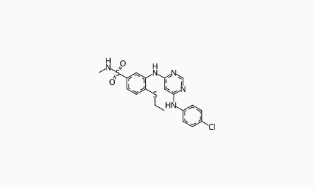 CCSc1ccc(S(=O)(=O)NC)cc1Nc1cc(Nc2ccc(Cl)cc2)ncn1